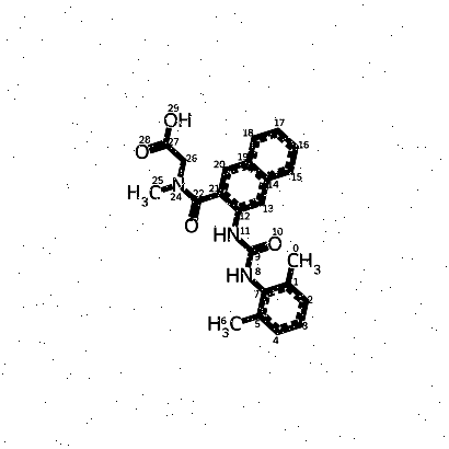 Cc1cccc(C)c1NC(=O)Nc1cc2ccccc2cc1C(=O)N(C)CC(=O)O